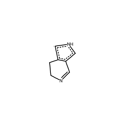 [c]1[nH]cc2c1CCN=C2